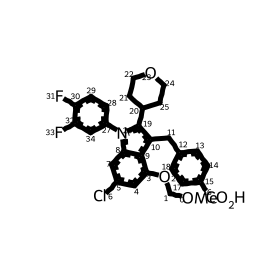 COCOc1cc(Cl)cc2c1c(Cc1ccc(C(=O)O)cc1)c(C1CCOCC1)n2-c1ccc(F)c(F)c1